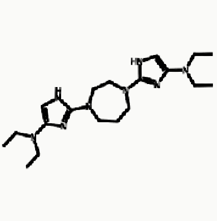 CCN(CC)c1c[nH]c(N2CCCN(c3nc(N(CC)CC)c[nH]3)CC2)n1